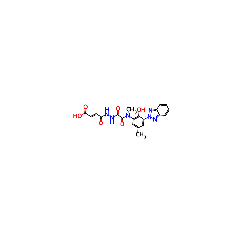 Cc1cc(N(C)C(=O)C(=O)NNC(=O)C=CC(=O)O)c(O)c(-n2nc3ccccc3n2)c1